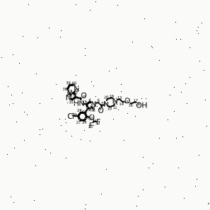 O=C(Nc1cn(CC(=O)N2CCN(CCOCCO)CC2)nc1-c1cc(Cl)ccc1OC(F)F)c1cnn2cccnc12